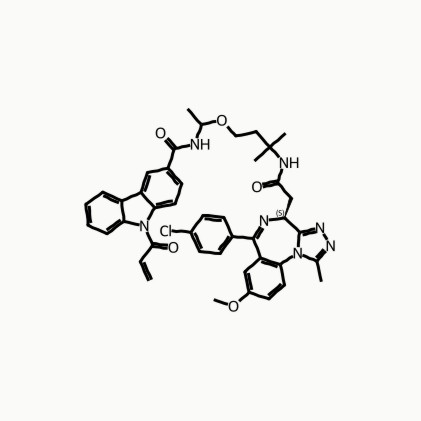 C=CC(=O)n1c2ccccc2c2cc(C(=O)NC(C)OCCC(C)(C)NC(=O)C[C@@H]3N=C(c4ccc(Cl)cc4)c4cc(OC)ccc4-n4c(C)nnc43)ccc21